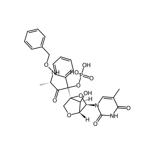 Cc1cn([C@@H]2O[C@]3(C(OP(=O)(O)O)(C(=O)[C@H](C)NOCc4ccccc4)c4ccccc4)CO[C@@H]2[C@@H]3O)c(=O)[nH]c1=O